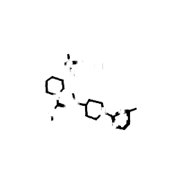 COC(=O)N1CCC[C@H](NS(C)(=O)=O)[C@@H]1COC1CCN(c2nccc(C)n2)CC1.Cl